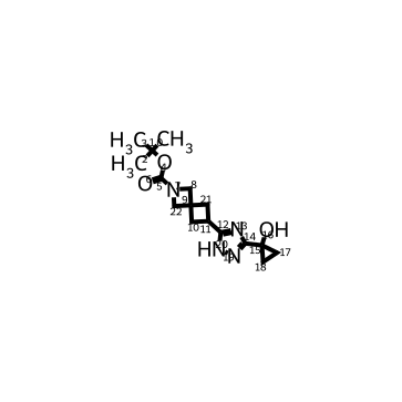 CC(C)(C)OC(=O)N1CC2(CC(c3nc(C4(O)CC4)n[nH]3)C2)C1